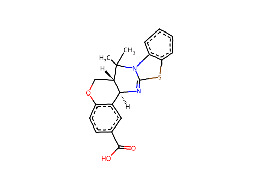 CC1(C)[C@H]2COc3ccc(C(=O)O)cc3[C@@H]2N=C2Sc3ccccc3N21